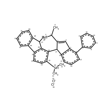 CC(C)C1=Cc2c(-c3ccccc3)cccc2C1c1c([SiH](C)C)ccc2c1[CH]([Zr+2])c1ccccc1-2.[Cl-].[Cl-]